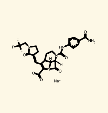 NC(=O)c1ccc(NC(=O)N2CCC3C(/C=C4\CCN(CC(F)(F)F)C4=O)=C(C(=O)[O-])N4C(=O)[C@@H]2[C@@H]34)cc1.[Na+]